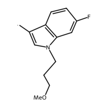 [CH2]c1cn(CCCOC)c2cc(F)ccc12